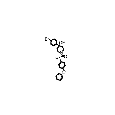 O=C(Nc1ccc(Oc2ccccc2)cc1)N1CCC(O)(c2ccc(Br)cc2)CC1